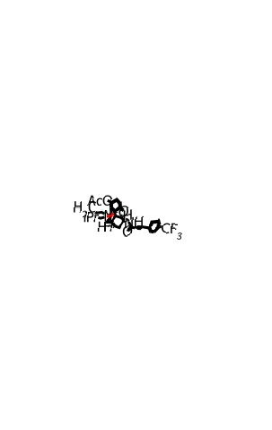 C=CC[N+]1(CC(C)C)CC[C@@]23c4c5ccc(OC(C)=O)c4C[C@@H]1[C@@H]2CC[C@H](NC(=O)C#Cc1ccc(C(F)(F)F)cc1)[C@@H]3O5